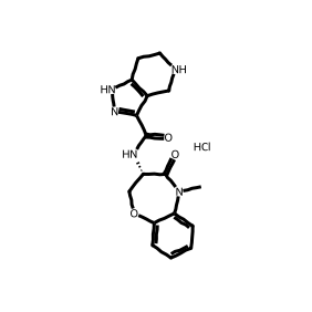 CN1C(=O)[C@@H](NC(=O)c2n[nH]c3c2CNCC3)COc2ccccc21.Cl